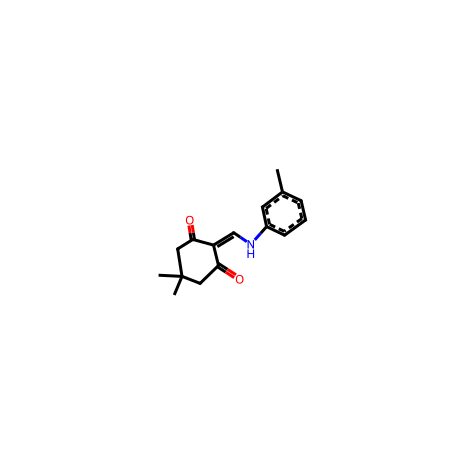 Cc1cccc(NC=C2C(=O)CC(C)(C)CC2=O)c1